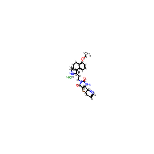 CCOc1cccc2c1CC[C@H]1CNC(CCn3c(=O)[nH]c4c(sc5cccnc54)c3=O)[C@@H]21.Cl